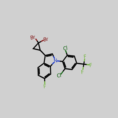 Fc1ccc2c(C3CC3(Br)Br)cn(-c3c(Cl)cc(C(F)(F)F)cc3Cl)c2c1